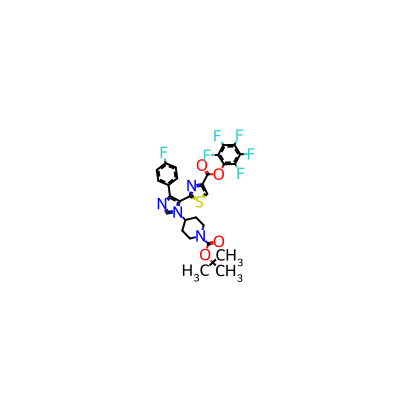 CC(C)(C)OC(=O)N1CCC(n2cnc(-c3ccc(F)cc3)c2-c2nc(C(=O)Oc3c(F)c(F)c(F)c(F)c3F)cs2)CC1